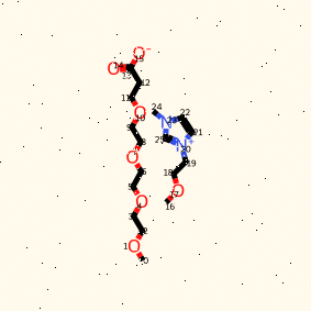 COCCOCCOCCOCCC(=O)[O-].COCC[n+]1ccn(C)c1